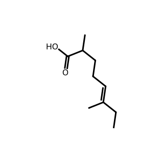 CC/C(C)=C/CCC(C)C(=O)O